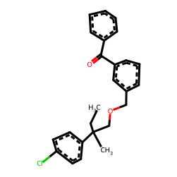 CCC(C)(COCc1cccc(C(=O)c2ccccc2)c1)c1ccc(Cl)cc1